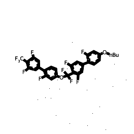 CCCCOc1ccc(-c2cc(F)c(C(F)(F)Oc3ccc(-c4cc(F)c(C(F)(F)F)c(F)c4)c(F)c3)c(F)c2)c(F)c1